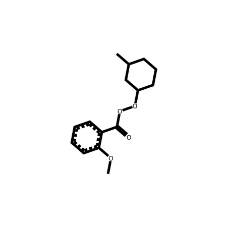 COc1ccccc1C(=O)OO[C]1CCCC(C)C1